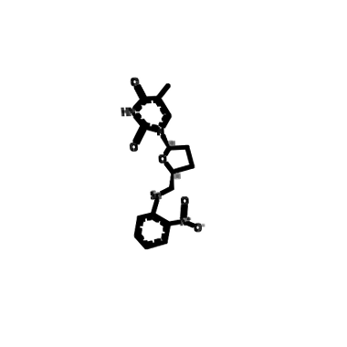 Cc1cn([C@H]2CC[C@@H](C[Se]c3ccccc3[N+](=O)[O-])O2)c(=O)[nH]c1=O